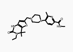 CCN1C(=O)Nc2cc(CN3CCN(c4ccc(C(=O)NC)nc4C)CC3)sc2C1(C)C